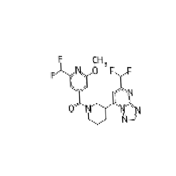 COc1cc(C(=O)N2CCCC(c3cc(C(F)F)nc4ncnn34)C2)cc(C(F)F)n1